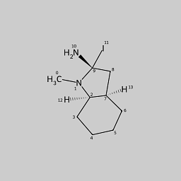 CN1[C@@H]2CCCC[C@@H]2C[C@@]1(N)I